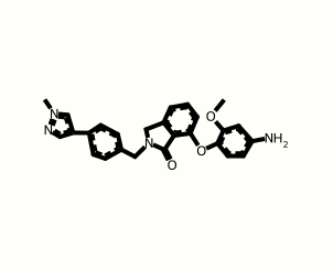 COc1cc(N)ccc1Oc1cccc2c1C(=O)N(Cc1ccc(-c3cnn(C)c3)cc1)C2